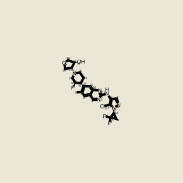 Cc1cc2cnc(Nc3cnn([C@H]4CC4(F)F)c3Cl)nc2cc1[C@H]1CCN([C@@H]2COC[C@@H]2O)C[C@@H]1F